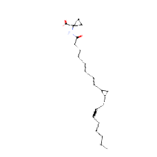 CCCCC/C=C\CC1CC1CCCCCCCC(=O)NC1(C(=O)O)CC1